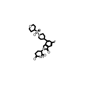 O=C1CCC(N2Cc3c(cc(F)cc3C3CCN(S(=O)(=O)C4CCOCC4)CC3)C2=O)C(=O)N1